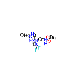 CC(C)(C)OC(=O)NCc1ccc(-n2c(-c3cccnc3NC=O)nc3ccc(C(F)F)nc32)cc1